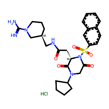 Cl.N=C(N)N1CCC[C@@H](CNC(=O)C[C@H]2C(=O)N(C3CCCC3)CC(=O)N2S(=O)(=O)c2ccc3ccccc3c2)C1